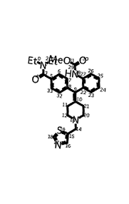 CCN(CC)C(=O)c1ccc(C(=C2CCN(Cc3cncs3)CC2)c2ccccc2NC(=O)OC)cc1